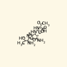 CC(=O)[C@H](NC(=O)N[C@@H](CC(N)=O)c1nnc([C@@H](N)C(C)O)o1)C(=O)O